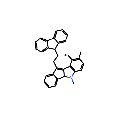 Cc1ccc2c([c]1[Zr])C1=C(CCC3c4ccccc4-c4ccccc43)c3ccccc3C1N2C